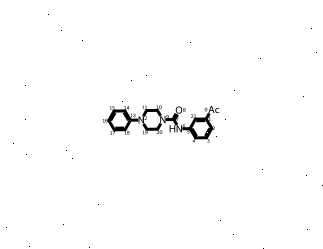 CC(=O)c1cccc(NC(=O)N2CCN(c3ccccc3)CC2)c1